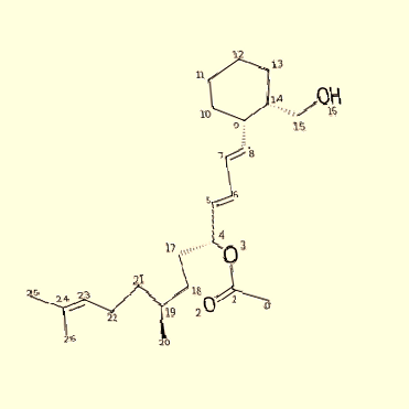 CC(=O)O[C@@H](/C=C/C=[C][C@@H]1CCCC[C@@H]1CO)CC[C@@H](C)CCC=C(C)C